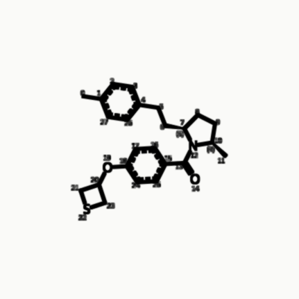 Cc1ccc(CC[C@H]2CC[C@@H](C)N2C(=O)c2ccc(OC3CSC3)cc2)cc1